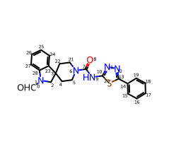 O=CN1CC2(CCN(C(=O)Nc3nnc(-c4ccccc4)s3)CC2)c2ccccc21